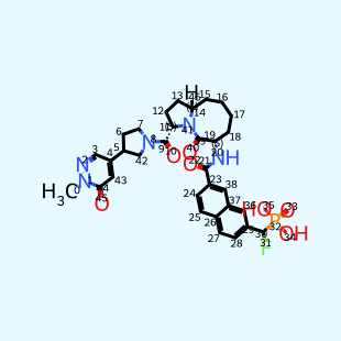 Cn1ncc(C2CCN(C(=O)[C@@H]3CC[C@@H]4CCCC[C@H](NC(=O)c5ccc6ccc(C(F)P(=O)(O)O)cc6c5)C(=O)N43)C2)cc1=O